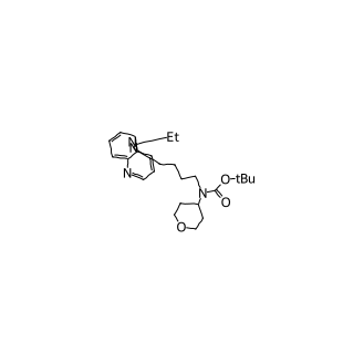 CCC1N=C2C=CC=C3N=CC=CC32N1CCCCN(C(=O)OC(C)(C)C)C1CCOCC1